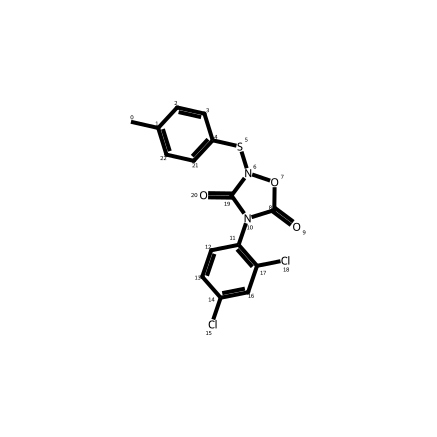 Cc1ccc(Sn2oc(=O)n(-c3ccc(Cl)cc3Cl)c2=O)cc1